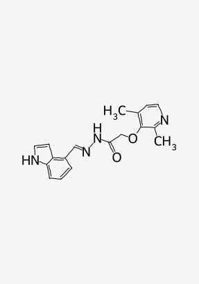 Cc1ccnc(C)c1OCC(=O)NN=Cc1cccc2[nH]ccc12